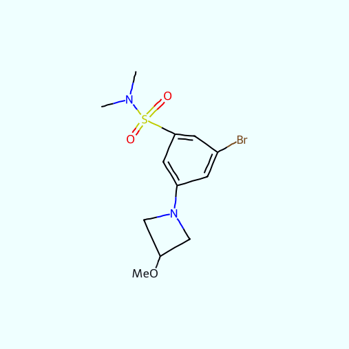 COC1CN(c2cc(Br)cc(S(=O)(=O)N(C)C)c2)C1